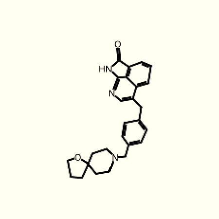 O=C1Nc2ncc(Cc3ccc(CN4CCC5(CCCO5)CC4)cc3)c3cccc1c23